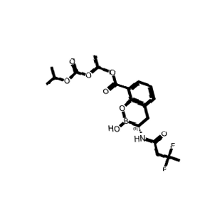 CC(C)OC(=O)OC(C)OC(=O)c1cccc2c1OB(O)[C@@H](NC(=O)CC(C)(F)F)C2